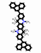 CN1c2ccc(-c3cc4ccccc4c4ccccc34)cc2C(C)(C)c2cc3c(cc21)C(C)(C)c1cc(-c2cc4ccccc4c4ccccc24)ccc1N3C